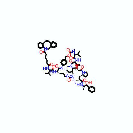 CC[C@H](C)C([C@@H](CC(=O)N1CCC[C@H]1C[C@@H](C)C(=O)N[C@H](C)[C@@H](O)c1ccccc1)OC)N(C)C(=O)[C@@H](NC(=O)[C@H](C(C)C)N(C)C(=O)OCc1ccc(NC(=O)[C@H](CCCNC(N)=O)NC(=O)[C@@H](NC(=O)CCCCC(=O)N2Cc3ccccc3C#Cc3ccccc32)C(C)C)cc1)C(C)C